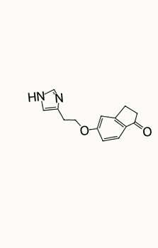 O=C1CCc2cc(OCCc3c[nH]cn3)ccc21